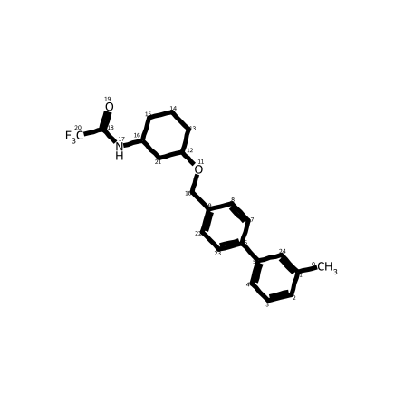 Cc1cccc(-c2ccc(COC3CCCC(NC(=O)C(F)(F)F)C3)cc2)c1